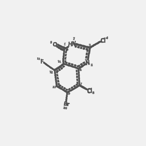 O=c1[nH]c(Cl)nc2c(Cl)c(Br)cc(F)c12